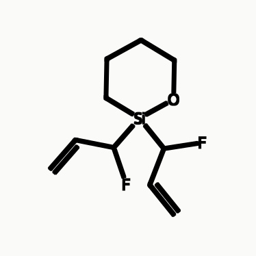 C=CC(F)[Si]1(C(F)C=C)CCCCO1